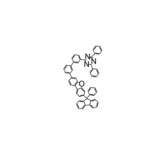 c1ccc(-c2nc(-c3ccccc3)nc(-c3cccc(-c4cccc(-c5ccc6c(c5)oc5cc(C7(c8ccccc8)c8ccccc8-c8ccccc87)ccc56)c4)c3)n2)cc1